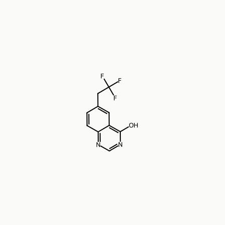 Oc1ncnc2ccc(CC(F)(F)F)cc12